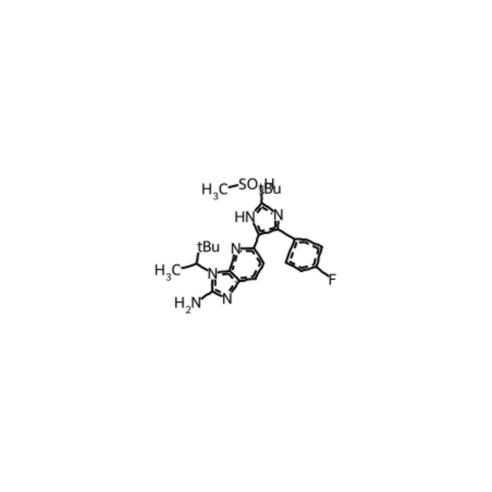 CC(n1c(N)nc2ccc(-c3[nH]c(C(C)(C)C)nc3-c3ccc(F)cc3)nc21)C(C)(C)C.CS(=O)(=O)O